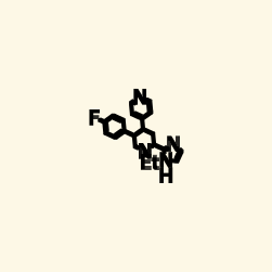 CCN1CC(c2ccc(F)cc2)C(c2ccncc2)CC1c1ncc[nH]1